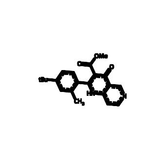 COC(=O)c1c(-c2ccc(C(C)(C)C)cc2C)[nH]c2ccncc2c1=O